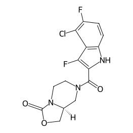 O=C(c1[nH]c2ccc(F)c(Cl)c2c1F)N1CCN2C(=O)OC[C@@H]2C1